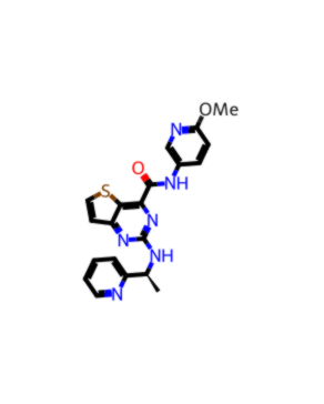 COc1ccc(NC(=O)c2nc(N[C@@H](C)c3ccccn3)nc3ccsc23)cn1